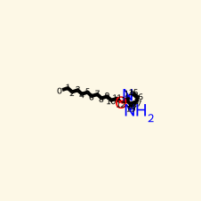 CCCCCCCCCCCCOc1ncccc1N